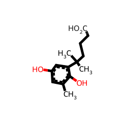 Cc1cc(O)cc(C(C)(C)CCCC(=O)O)c1O